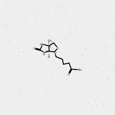 CC(C)(C)C(=O)CCCC[C@@H]1SC[C@]2(C)NC(=O)N[C@H]12